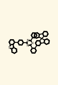 c1ccc(-c2nc(-c3ccc(-c4cccc5sc6ccccc6c45)cc3)nc(-c3ccccc3-c3ccc4c(c3)-c3ccccc3C43c4ccccc4-c4ccccc43)n2)cc1